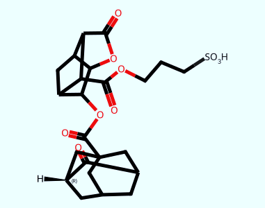 O=C1OC2C3CC(C2OC(=O)C24CC5CC(C2)C(=O)[C@H](C5)C4)C(C(=O)OCCCS(=O)(=O)O)C13